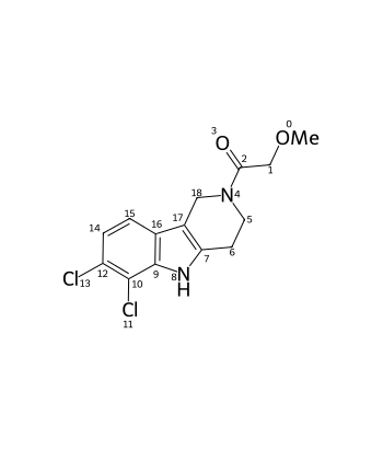 COCC(=O)N1CCc2[nH]c3c(Cl)c(Cl)ccc3c2C1